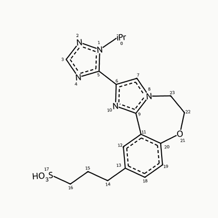 CC(C)n1ncnc1-c1cn2c(n1)-c1cc(CCCS(=O)(=O)O)ccc1OCC2